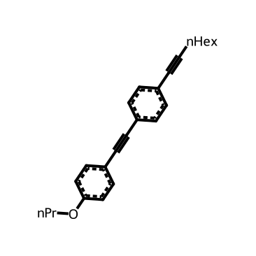 CCCCCCC#Cc1ccc(C#Cc2ccc(OCCC)cc2)cc1